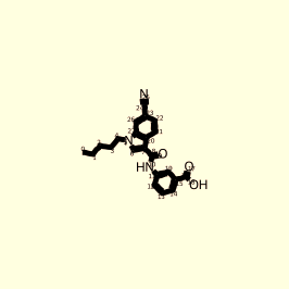 CCCCCn1cc(C(=O)Nc2cccc(C(=O)O)c2)c2ccc(C#N)cc21